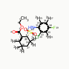 [2H]C1=C(C(=O)OCC)[C@H](S(=O)(=O)Nc2c([2H])c([2H])c(F)c([2H])c2Cl)C([2H])([2H])CC1([2H])[2H]